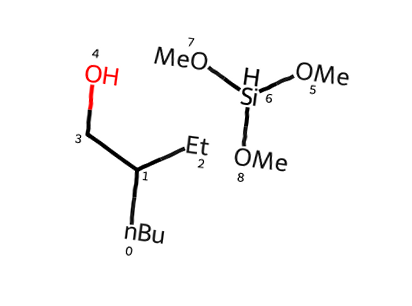 CCCCC(CC)CO.CO[SiH](OC)OC